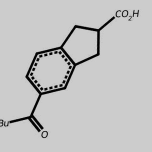 CC(C)(C)C(=O)c1ccc2c(c1)CC(C(=O)O)C2